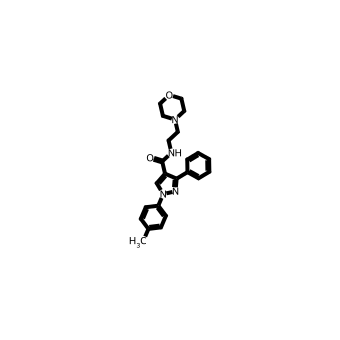 Cc1ccc(-n2cc(C(=O)NCCN3CCOCC3)c(-c3ccccc3)n2)cc1